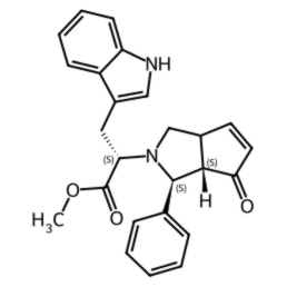 COC(=O)[C@H](Cc1c[nH]c2ccccc12)N1CC2C=CC(=O)[C@@H]2[C@H]1c1ccccc1